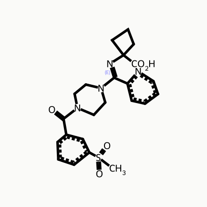 CS(=O)(=O)c1cccc(C(=O)N2CCN(/C(=N/C3(C(=O)O)CCC3)c3ccccn3)CC2)c1